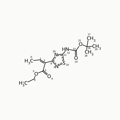 C/C=C(\C(=O)OCC)c1nsc(NC(=O)OC(C)(C)C)n1